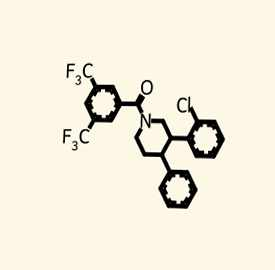 O=C(c1cc(C(F)(F)F)cc(C(F)(F)F)c1)N1CCC(c2ccccc2)C(c2ccccc2Cl)C1